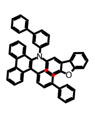 c1ccc(-c2ccc(-c3c(N(c4cccc(-c5ccccc5)c4)c4ccc5oc6ccccc6c5c4)c4ccccc4c4ccccc34)cc2)cc1